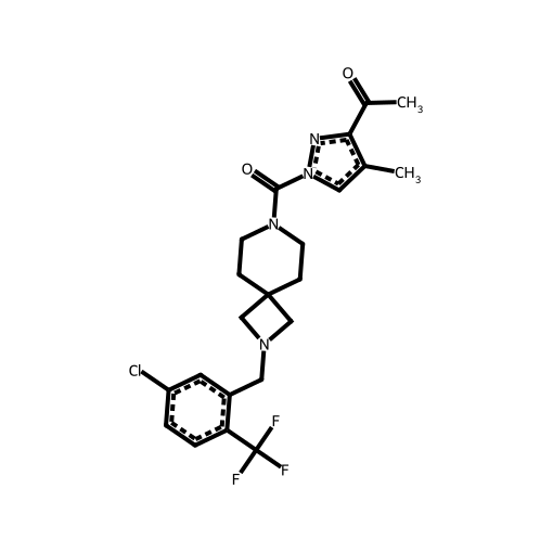 CC(=O)c1nn(C(=O)N2CCC3(CC2)CN(Cc2cc(Cl)ccc2C(F)(F)F)C3)cc1C